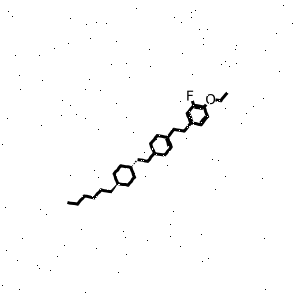 CCCCCC[C@H]1CC[C@H](CCC2CC=C(CCc3ccc(OCC)c(F)c3)CC2)CC1